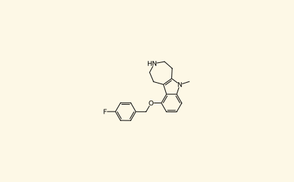 Cn1c2c(c3c(OCc4ccc(F)cc4)cccc31)CCNCC2